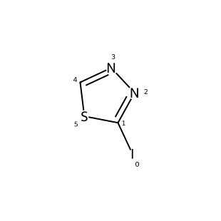 Ic1nncs1